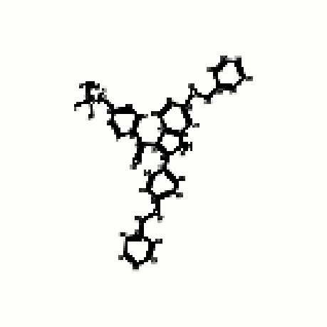 CC(C)(C)[PH](C)(C)Oc1ccc(C(=O)c2c(-c3ccc(OCc4ccccc4)cc3)[nH]c3cc(OCc4ccccc4)ccc23)cc1